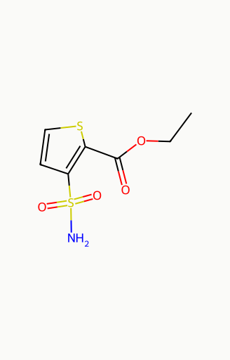 CCOC(=O)c1sccc1S(N)(=O)=O